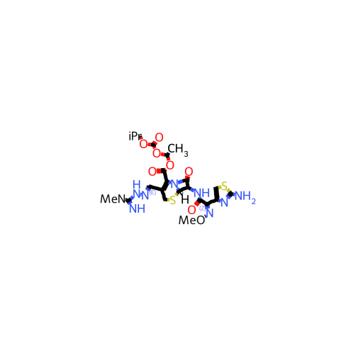 CNC(=N)N/N=C/C1=C(C(=O)OC(C)OC(=O)OC(C)C)N2C(=O)C(NC(=O)/C(=N\OC)c3csc(N)n3)[C@H]2SC1